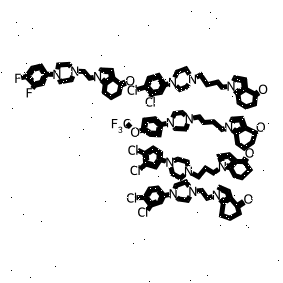 O=C1CCCc2c1ccn2CCCCN1CCN(c2ccc(Cl)c(Cl)c2)CC1.O=C1CCCc2c1ccn2CCCCN1CCN(c2ccc(OC(F)(F)F)cc2)CC1.O=C1CCCc2c1ccn2CCCN1CCN(c2ccc(Cl)c(Cl)c2)CC1.O=C1CCCc2c1ccn2CCN1CCN(c2ccc(Cl)c(Cl)c2)CC1.O=C1CCCc2c1ccn2CCN1CCN(c2ccc(F)c(F)c2)CC1